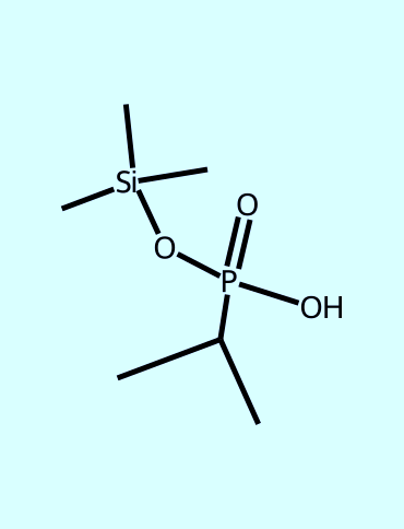 CC(C)P(=O)(O)O[Si](C)(C)C